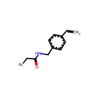 C=Cc1ccc(CNC(=O)CC(C)=O)cc1